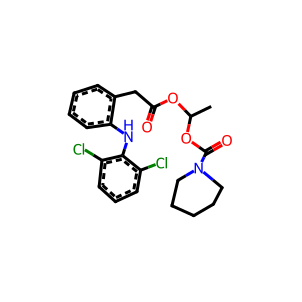 CC(OC(=O)Cc1ccccc1Nc1c(Cl)cccc1Cl)OC(=O)N1CCCCC1